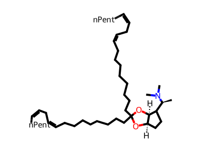 CCCCC/C=C\C/C=C\CCCCCCCCC1(CCCCCCCC/C=C\C/C=C\CCCCC)O[C@@H]2CCC([C@H](C)N(C)C)[C@@H]2O1